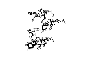 COc1ccc(C(=O)c2c(C)n(CCC3CCCN3C)c3ccc(F)cc23)cc1.COc1ccc(C(=O)c2c(C)n(CCC3CCCN3C)c3ccc(F)cc23)cc1.Cl.Cl.O